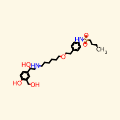 CCCCS(=O)(=O)Nc1ccc(CCOCCCCCCNCC(O)c2ccc(O)c(CO)c2)cc1